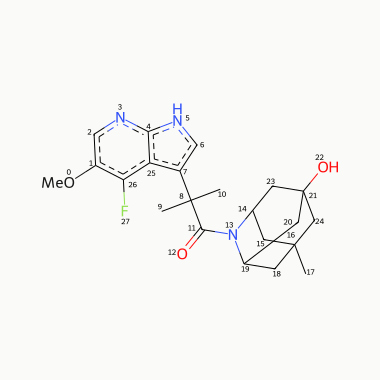 COc1cnc2[nH]cc(C(C)(C)C(=O)N3C4CC5(C)CC3CC(O)(C4)C5)c2c1F